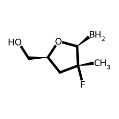 B[C@@H]1O[C@H](CO)C[C@@]1(C)F